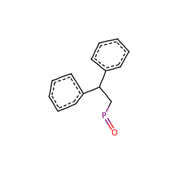 O=PCC(c1ccccc1)c1ccccc1